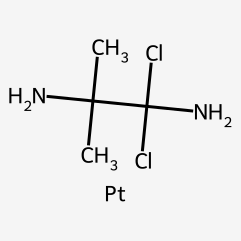 CC(C)(N)C(N)(Cl)Cl.[Pt]